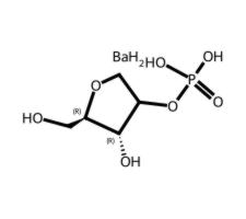 O=P(O)(O)OC1CO[C@H](CO)[C@H]1O.[BaH2]